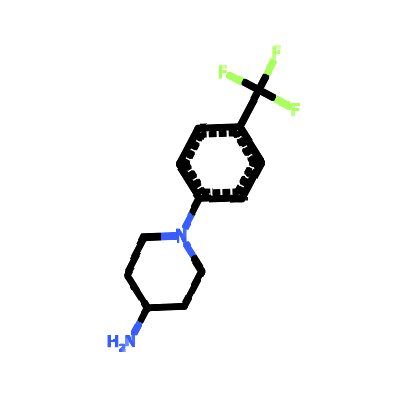 NC1CCN(c2[c]cc(C(F)(F)F)cc2)CC1